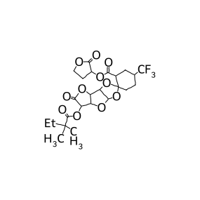 CCC(C)(C)C(=O)OC1C(=O)OC2C3OC4(CCC(C(F)(F)F)CC4C(=O)OC4CCOC4=O)OC3OC12